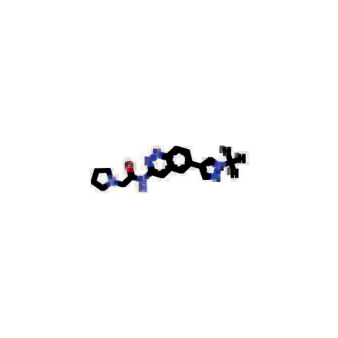 [2H]C([2H])([2H])n1cc(-c2ccc3nnc(NC(=O)CN4CCCC4)cc3c2)cn1